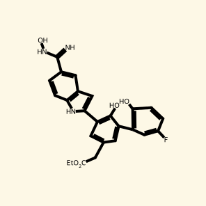 CCOC(=O)Cc1cc(-c2cc3cc(C(=N)NO)ccc3[nH]2)c(O)c(-c2cc(F)ccc2O)c1